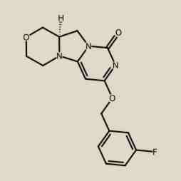 O=c1nc(OCc2cccc(F)c2)cc2n1C[C@@H]1COCCN21